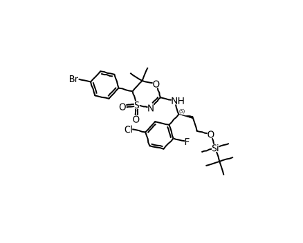 CC1(C)OC(N[C@@H](CCO[Si](C)(C)C(C)(C)C)c2cc(Cl)ccc2F)=NS(=O)(=O)C1c1ccc(Br)cc1